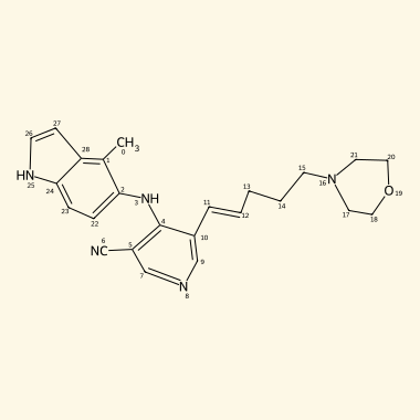 Cc1c(Nc2c(C#N)cncc2C=CCCCN2CCOCC2)ccc2[nH]ccc12